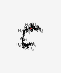 CC(C)OC[C@H]1O[C@@H](n2cc(C#CCNC(=O)CCCCOCSSC(C)(C)CNC(=O)CCCN(C)C(=O)c3ccccc3C3=C4C=CC(=[N+](C)C)C=C4[Si](C)(C)c4cc(N(C)C)ccc43)c(N)nc2=O)CC1OC(C)C